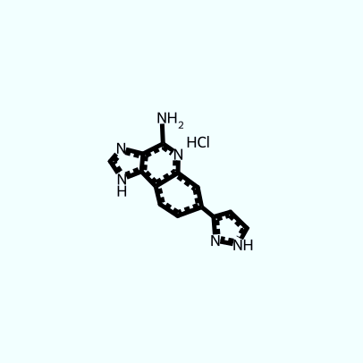 Cl.Nc1nc2cc(-c3cc[nH]n3)ccc2c2[nH]cnc12